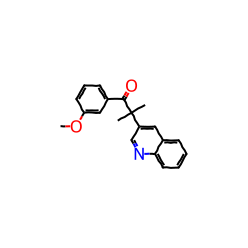 COc1cccc(C(=O)C(C)(C)c2cnc3ccccc3c2)c1